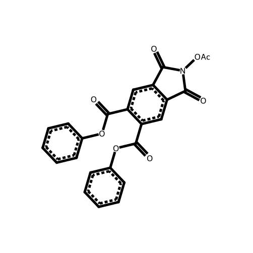 CC(=O)ON1C(=O)c2cc(C(=O)Oc3ccccc3)c(C(=O)Oc3ccccc3)cc2C1=O